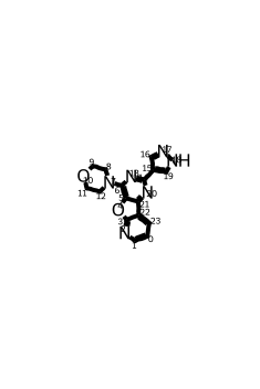 c1cnc2oc3c(N4CCOCC4)nc(-c4cn[nH]c4)nc3c2c1